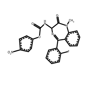 CN1C(=O)C(NC(=O)Oc2ccc([N+](=O)[O-])cc2)N=C(c2ccccc2F)c2ccccc21